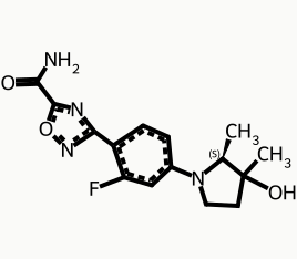 C[C@@H]1N(c2ccc(-c3noc(C(N)=O)n3)c(F)c2)CCC1(C)O